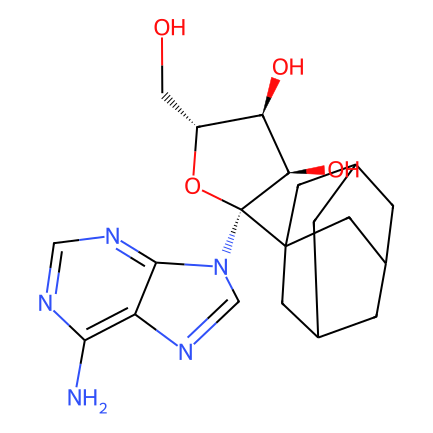 Nc1ncnc2c1ncn2[C@]1(C23CC4CC(CC(C4)C2)C3)O[C@H](CO)[C@@H](O)[C@H]1O